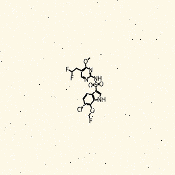 COc1nc(NS(=O)(=O)c2c[nH]c3c(OCF)c(Cl)ccc23)ncc1CC(F)F